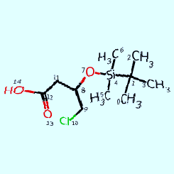 CC(C)(C)[Si](C)(C)OC(CCl)CC(=O)O